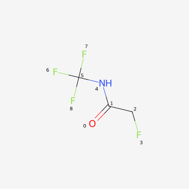 O=C(CF)NC(F)(F)F